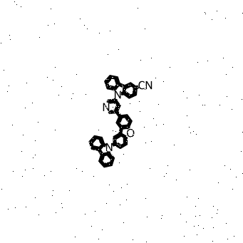 N#Cc1ccc2c(c1)c1ccccc1n2-c1cncc(-c2ccc3oc4ccc(-n5c6ccccc6c6ccccc65)cc4c3c2)c1